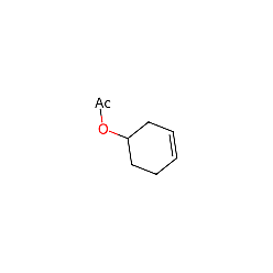 CC(=O)OC1CC=CCC1